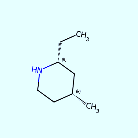 CC[C@@H]1C[C@H](C)CCN1